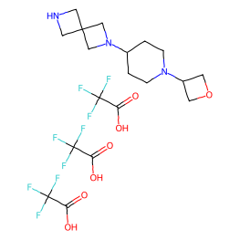 C1CN(C2COC2)CCC1N1CC2(CNC2)C1.O=C(O)C(F)(F)F.O=C(O)C(F)(F)F.O=C(O)C(F)(F)F